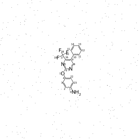 Nc1ccc(Oc2ncc(-c3ccccc3)c(C(F)(F)F)n2)cc1